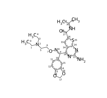 CCN(CC)CCON=C(c1ccc2c(c1)OCO2)c1nc(N)nc2sc(C(=O)NC(C)C)cc12